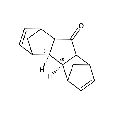 O=C1C2C3C=CC(C3)[C@H]2[C@H]2C3C=CC(C3)C12